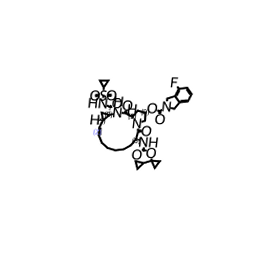 O=C(N[C@H]1CCCCC/C=C\[C@@H]2C[C@@]2(C(=O)NS(=O)(=O)C2CC2)NC(=O)[C@@H]2C[C@@H](OC(=O)N3Cc4cccc(F)c4C3)CN2C1=O)OC1(C2CC2)CC1